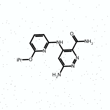 CC(C)Oc1cccc(Nc2cc(N)nnc2C(N)=O)n1